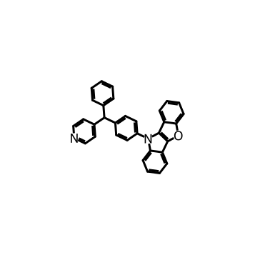 c1ccc(C(c2ccncc2)c2ccc(-n3c4ccccc4c4oc5ccccc5c43)cc2)cc1